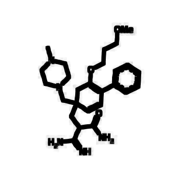 COCCCOC1=C(c2ccccc2)C=CC(CC(C(=N)N)C(N)=O)(CN2CCN(C)CC2)C1